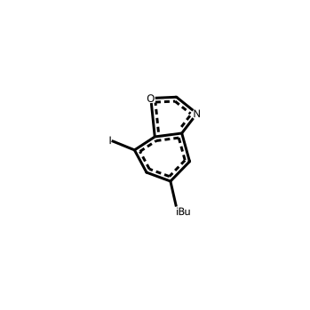 CCC(C)c1cc(I)c2ocnc2c1